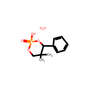 CC1(C)COP(=O)(O)OC1c1ccccc1.O